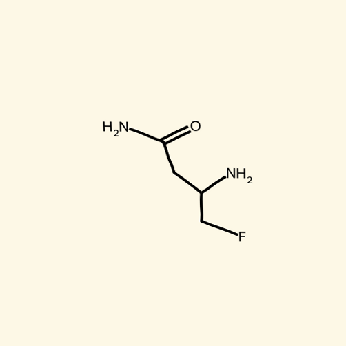 NC(=O)CC(N)CF